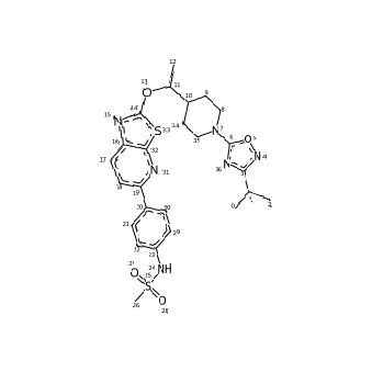 CC(C)c1noc(N2CCC(C(C)Oc3nc4ccc(-c5ccc(NS(C)(=O)=O)cc5)nc4s3)CC2)n1